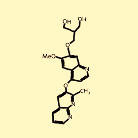 COc1cc2c(Oc3cc4cccnc4nc3C)ccnc2cc1OCC(CO)CO